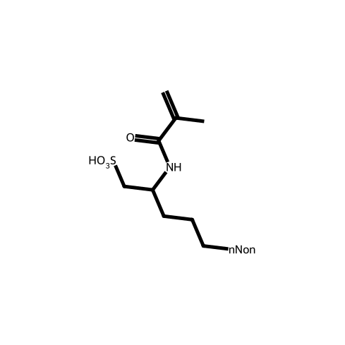 C=C(C)C(=O)NC(CCCCCCCCCCCC)CS(=O)(=O)O